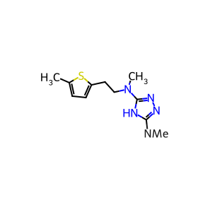 CNc1nnc(N(C)CCc2ccc(C)s2)[nH]1